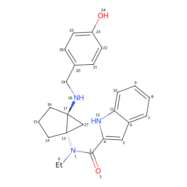 CCN(C(=O)c1cc2ccccc2[nH]1)[C@]12CCC[C@]1(NCc1ccc(O)cc1)C2